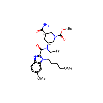 COCCCCn1c(C(=O)N(CC(C)C)[C@H]2C[C@@H](C(N)=O)CN(C(=O)OC(C)(C)C)C2)nc2ccc(OC)cc21